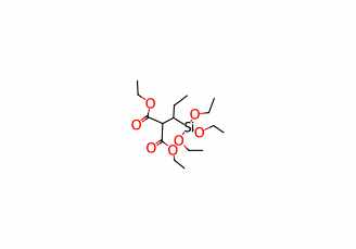 CCOC(=O)C(C(=O)OCC)C(CC)[Si](OCC)(OCC)OCC